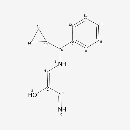 N=C/C(O)=C\NC(c1ccccc1)C1CC1